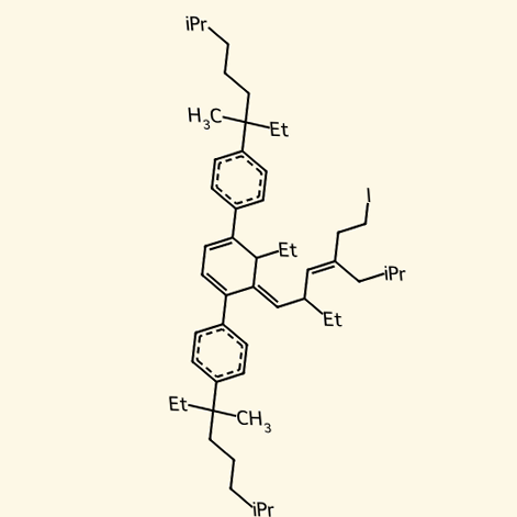 CCC(/C=C(/CCI)CC(C)C)/C=C1/C(c2ccc(C(C)(CC)CCCC(C)C)cc2)=CC=C(c2ccc(C(C)(CC)CCCC(C)C)cc2)C1CC